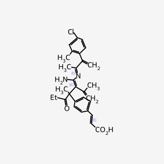 C=C(C)/C(=C(N)\N=C(/C)C(=C)c1ccc(Cl)cc1C)C(C)(C(=O)CC)c1ccc(/C=C/C(=O)O)cc1